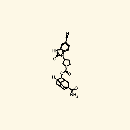 N#Cc1ccc2c(c1)[nH]c(=O)n2C1CCN(C(=O)OC2C3CC4C[C@H]2CC(C(N)=O)(C4)C3)C1